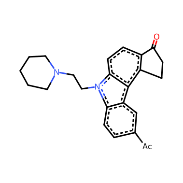 CC(=O)c1ccc2c(c1)c1c3c(ccc1n2CCN1CCCCC1)C(=O)CC3